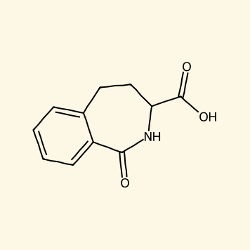 O=C1NC(C(=O)O)CCc2ccccc21